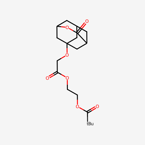 CC(C)(C)C(=O)OCCOC(=O)COC12CC3CC(C1)OC(=O)C(C3)C2